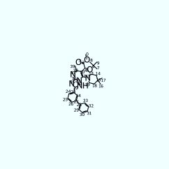 COC(=O)C(OC(C)(C)C)C1=C(N2CCC(C)(C)CC2)N2NC(c3cccc(-c4ccccc4)c3)N=C2N=C1C